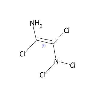 N/C(Cl)=C(\Cl)N(Cl)Cl